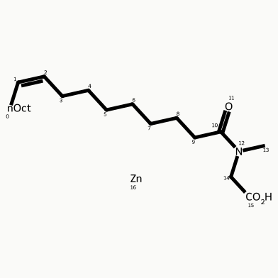 CCCCCCCC/C=C\CCCCCCCC(=O)N(C)CC(=O)O.[Zn]